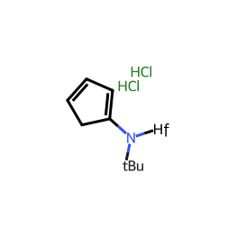 CC(C)(C)[N]([Hf])C1=CC=CC1.Cl.Cl